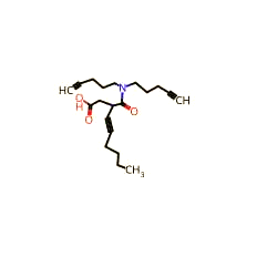 C#CCCCN(CCCC#C)C(=O)C(C#CCCCC)CC(=O)O